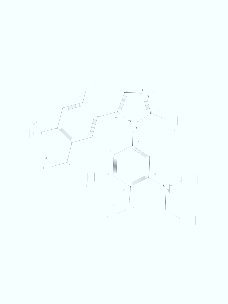 CCN(C)c1cc(-n2c(-c3cc(C(C)C)c(O)cc3O)cnc2O)ccc1OC